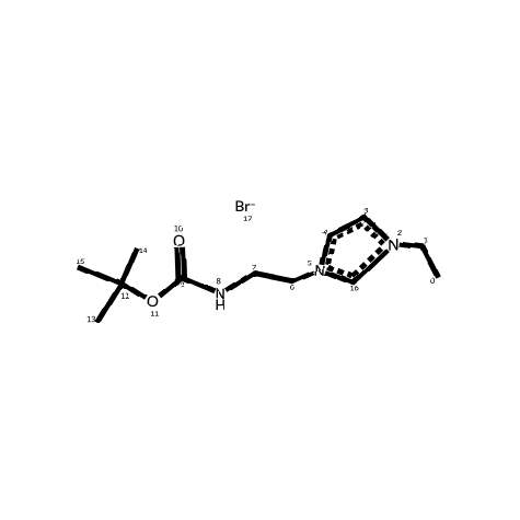 CCn1cc[n+](CCNC(=O)OC(C)(C)C)c1.[Br-]